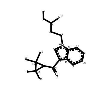 CCC(F)CCn1cc(C(=O)C2C(C)(C)C2(C)C)c2ccccc21